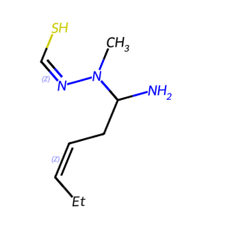 CC/C=C\CC(N)N(C)/N=C\S